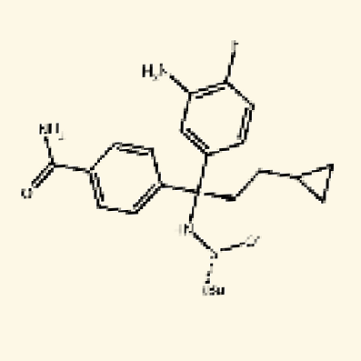 CC(C)(C)[S@@+]([O-])N[C@](CCC1CC1)(c1ccc(C(N)=O)cc1)c1ccc(F)c(N)c1